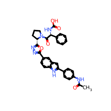 CC(=O)Nc1ccc(-c2cc3cc(-c4nnc([C@@H]5CCCN5C(=O)[C@H](NC(=O)O)c5ccccc5)o4)ccc3[nH]2)cc1